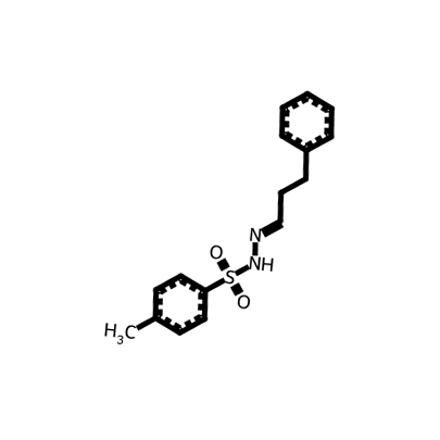 Cc1ccc(S(=O)(=O)NN=CCCc2ccccc2)cc1